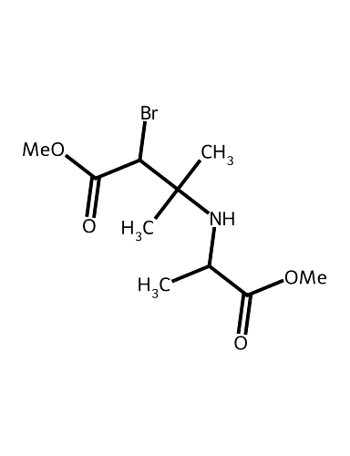 COC(=O)C(C)NC(C)(C)C(Br)C(=O)OC